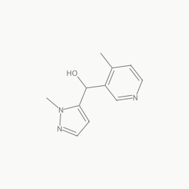 Cc1ccncc1C(O)c1ccnn1C